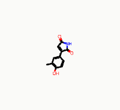 Cc1cc(C2=CC(=O)NC2=O)ccc1O